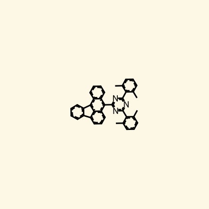 Cc1cccc(C)c1-c1nc(-c2c(C)cccc2C)nc(-c2c3ccccc3c3c4c(cccc24)-c2ccccc2-3)n1